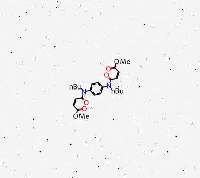 CCCCN(C(=O)/C=C\C(=O)OC)c1ccc(N(CCCC)C(=O)/C=C\C(=O)OC)cc1